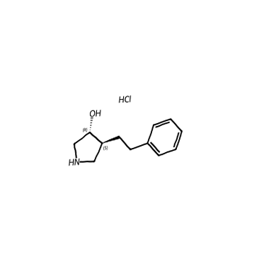 Cl.O[C@H]1CNC[C@@H]1CCc1ccccc1